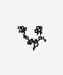 CCc1nn(-c2noc(C3CN(CCNC(=O)O)C3)n2)c2cc(F)ccc12.O=C(O)C(F)(F)F